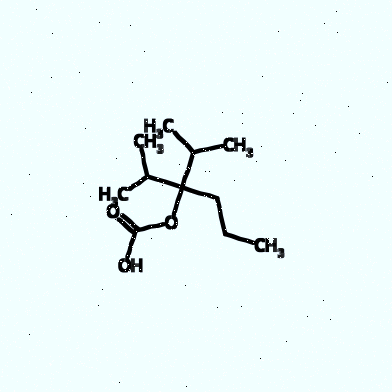 CCCC(OC(=O)O)(C(C)C)C(C)C